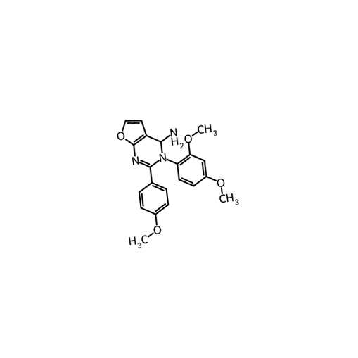 COc1ccc(C2=Nc3occc3C(N)N2c2ccc(OC)cc2OC)cc1